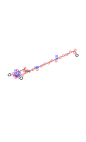 CC(C)(C)OC(=O)CCCNC(=O)C(NC(=O)OCc1ccccc1)C(NC(=O)OCc1ccccc1)C(=O)NCCOCCOCCOCCOCCC(=O)NCCOCCOCCOCCOCCC(=O)NCCOCCOCCOCCOCCC(=O)OCc1ccccc1